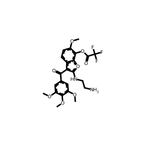 COc1cc(C(=O)c2c(NCCN)oc3c(OC(=O)C(F)(F)F)c(OC)ccc23)cc(OC)c1OC